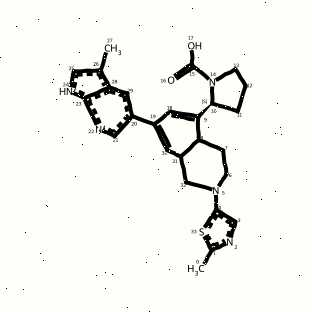 Cc1ncc(N2CCC3C([C@@H]4CCCN4C(=O)O)=CC(c4cnc5[nH]cc(C)c5c4)=CC3C2)s1